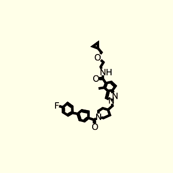 Cc1c(C(=O)NCCOCC2CC2)ccc2nn(CC3CCN(C(=O)c4ccc(-c5ccc(F)cc5)cc4)CC3)cc12